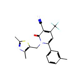 Cc1cccc(-c2cc(C(F)(F)F)c(C#N)c(=O)n2Cc2sc(C)nc2C)c1